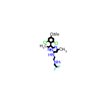 COc1cc(Cl)c(-c2c(C)nn3c(NCCNCC(F)F)cc(C)nc23)c(Cl)c1